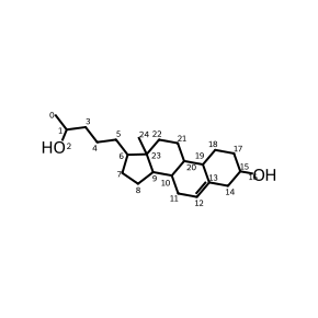 CC(O)CCCC1CCC2C3CC=C4CC(O)CCC4C3CCC12C